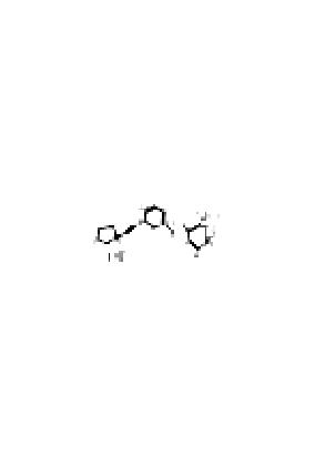 O=[N+]([O-])c1ncc(Br)cc1OCc1cccc(C#CC2(OPI)CCCC2)c1